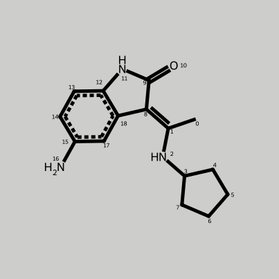 CC(NC1CCCC1)=C1C(=O)Nc2ccc(N)cc21